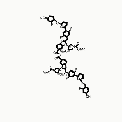 COC(=O)N1C[C@@H](n2c(Cc3cc(F)c(-c4cccc(OCc5ccc(C#N)cc5F)n4)cc3F)nc3ccc(C(=O)OC(=O)c4ccc5nc(Cc6cc(F)c(-c7cccc(OCc8ccc(C#N)cc8F)n7)cc6F)n([C@@H]6CN(C(=O)OC)C[C@H]6OC)c5c4)cc32)[C@H](OC)C1